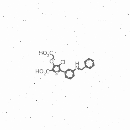 O=C(O)COc1c(C(=O)O)sc(-c2cccc(NCc3ccccc3)c2)c1Cl